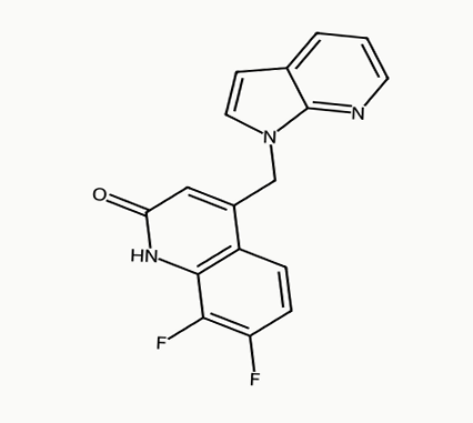 O=c1cc(Cn2ccc3cccnc32)c2ccc(F)c(F)c2[nH]1